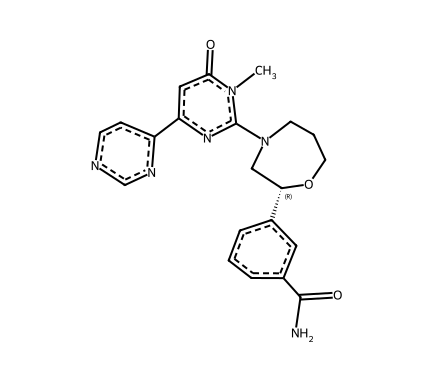 Cn1c(N2CCCO[C@H](c3cccc(C(N)=O)c3)C2)nc(-c2ccncn2)cc1=O